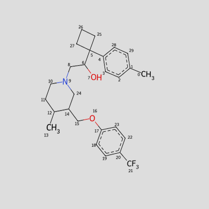 Cc1ccc(C2(C(O)CN3CCC(C)C(COc4ccc(C(F)(F)F)cc4)C3)CCC2)cc1